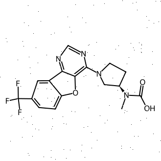 CN(C(=O)O)[C@@H]1CCN(c2ncnc3c2oc2ccc(C(F)(F)F)cc23)C1